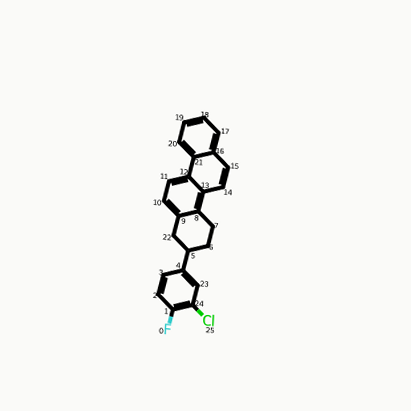 Fc1ccc(C2CCc3c(ccc4c3ccc3ccccc34)C2)cc1Cl